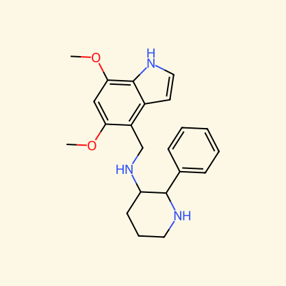 COc1cc(OC)c2[nH]ccc2c1CNC1CCCNC1c1ccccc1